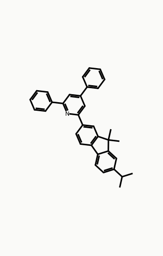 CC(C)c1ccc2c(c1)C(C)(C)c1cc(-c3cc(-c4ccccc4)cc(-c4ccccc4)n3)ccc1-2